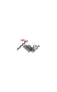 CC(=O)O.CC(=O)O.CC(=O)O.CC(=O)O.CC(=O)O.CC(=O)O.CC(=O)O.CC(=O)O.CC(=O)O.CCCCCCCC(=O)O